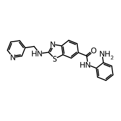 Nc1ccccc1NC(=O)c1ccc2nc(NCc3cccnc3)sc2c1